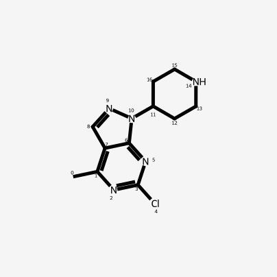 Cc1nc(Cl)nc2c1cnn2C1CCNCC1